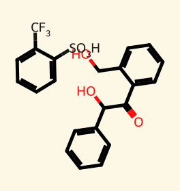 O=C(c1ccccc1CO)C(O)c1ccccc1.O=S(=O)(O)c1ccccc1C(F)(F)F